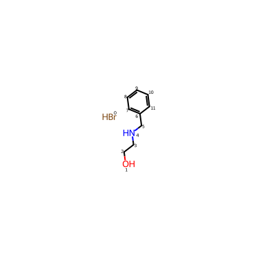 Br.OCCNCc1ccccc1